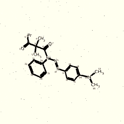 CC(C)C(=O)C(C)(C)C(=O)N(N=Nc1ccc(N(C)C)cc1)c1ccccc1